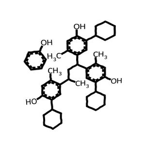 Cc1cc(O)c(C2CCCCC2)cc1C(C)CC(c1cc(C2CCCCC2)c(O)cc1C)c1cc(C2CCCCC2)c(O)cc1C.Oc1ccccc1